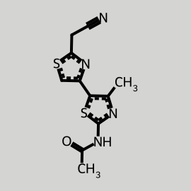 CC(=O)Nc1nc(C)c(-c2csc(CC#N)n2)s1